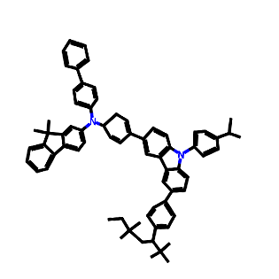 CCC(C)(C)CC(c1ccc(-c2ccc3c(c2)c2cc(C4=CCC(N(c5ccc(-c6ccccc6)cc5)c5ccc6c(c5)C(C)(C)c5ccccc5-6)C=C4)ccc2n3-c2ccc(C(C)C)cc2)cc1)C(C)(C)C